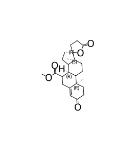 COC(=O)C1CC2=CC(=O)CC[C@]2(C)C2CC[C@@]3(C)C(CC[C@@]34CCC(=O)O4)[C@H]12